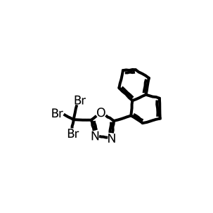 BrC(Br)(Br)c1nnc(-c2cccc3ccccc23)o1